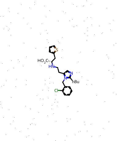 CCCCc1ncc(CCN[C@@H](Cc2cccs2)C(=O)O)n1Cc1ccccc1Cl